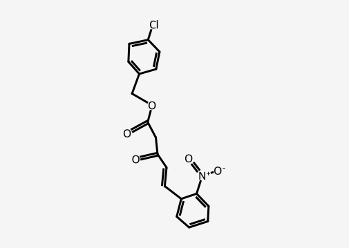 O=C(C=Cc1ccccc1[N+](=O)[O-])CC(=O)OCc1ccc(Cl)cc1